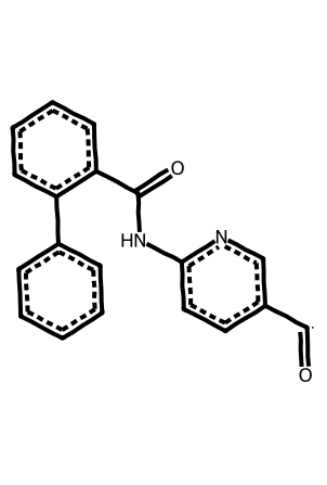 O=[C]c1ccc(NC(=O)c2ccccc2-c2ccccc2)nc1